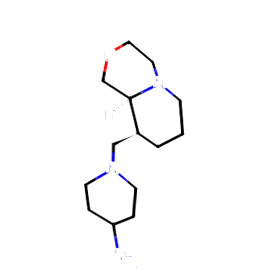 NC1CCN(C[C@@H]2CCCN3CCOC[C@H]23)CC1